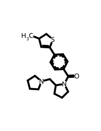 CC1C=C(c2ccc(C(=O)N3CCCC3CN3CCCC3)cc2)SC1